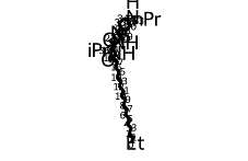 CCC=CCC=CCC=CCC=CCC=CCCCC(=O)N[C@H](C(=O)Nc1nc2c(s1)C[C@H](NCCC)CC2)C(C)C